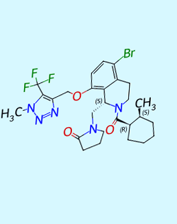 C[C@H]1CCCC[C@H]1C(=O)N1CCc2c(Br)ccc(OCc3nnn(C)c3C(F)(F)F)c2[C@H]1CN1CCCC1=O